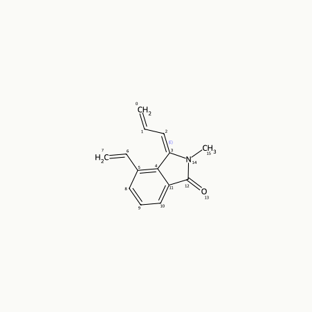 C=C/C=C1\c2c(C=C)cccc2C(=O)N1C